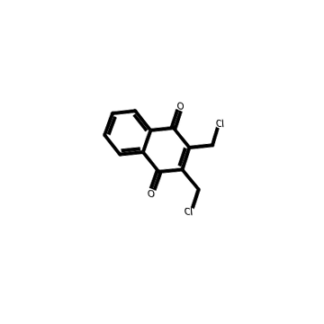 O=C1C(CCl)=C(CCl)C(=O)c2ccccc21